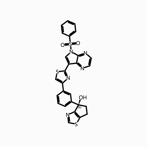 O=S(=O)(c1ccccc1)n1cc(-c2nc(-c3cccc([C@]4(O)CCc5scnc54)c3)cs2)c2nccnc21